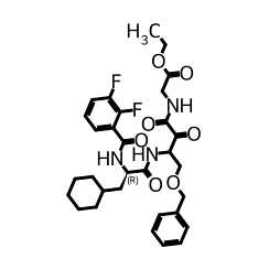 CCOC(=O)CNC(=O)C(=O)C(COCc1ccccc1)NC(=O)[C@@H](CC1CCCCC1)NC(=O)c1cccc(F)c1F